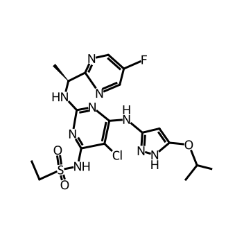 CCS(=O)(=O)Nc1nc(N[C@@H](C)c2ncc(F)cn2)nc(Nc2cc(OC(C)C)[nH]n2)c1Cl